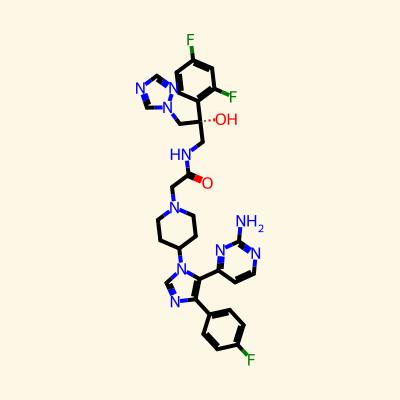 Nc1nccc(-c2c(-c3ccc(F)cc3)ncn2C2CCN(CC(=O)NC[C@@](O)(Cn3cncn3)c3ccc(F)cc3F)CC2)n1